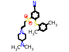 Cc1ccc(C)c(Sc2ccc(C#N)cc2S(=O)(=O)CC=CN2CCC(N(C)C)CC2)c1